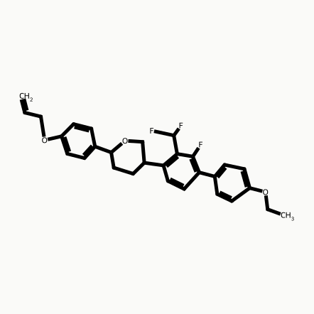 C=CCOc1ccc(C2CCC(c3ccc(-c4ccc(OCC)cc4)c(F)c3C(F)F)CO2)cc1